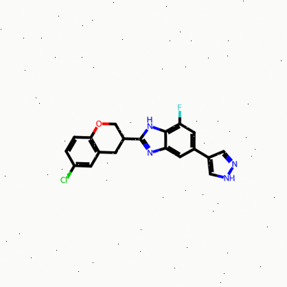 Fc1cc(-c2cn[nH]c2)cc2nc(C3COc4ccc(Cl)cc4C3)[nH]c12